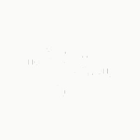 BOC(=O)c1cccc(C(=O)O)c1C.[Ti]